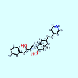 Cc1cccc(C[C@@H](O)/C=C/[C@@H]2[C@H]3CC(CCc4ccncc4)=C[C@H]3C[C@H]2O)c1